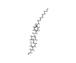 CCCCCCCCCCOc1ccc(CC[C@H]2CC[C@H]([C@H]3CC[C@H](CCCC)CC3)CC2)cc1